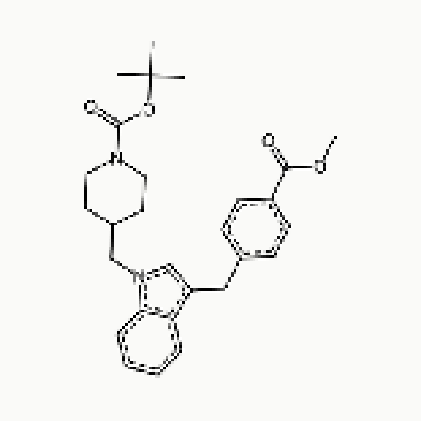 COC(=O)c1ccc(Cc2cn(CC3CCN(C(=O)OC(C)(C)C)CC3)c3ccccc23)cc1